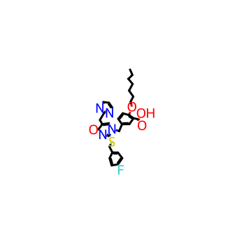 CCCCCCCOc1ccc(Cn2cc(Cc3ncccn3)c(=O)nc2SCc2ccc(F)cc2)cc1C(=O)O